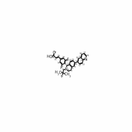 CC(C)(F)CN1CCc2cc(-c3ccc4ncccc4c3)ccc2[C@H]1c1c(F)cc(/C=C/C(=O)O)cc1F